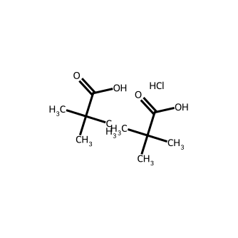 CC(C)(C)C(=O)O.CC(C)(C)C(=O)O.Cl